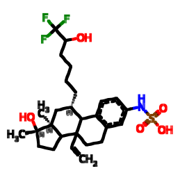 C=CC12CCc3cc(NS(=O)(=O)O)ccc3C1[C@@H](CCCCC(O)C(F)(F)F)C[C@@]1(C)C2CC[C@]1(C)O